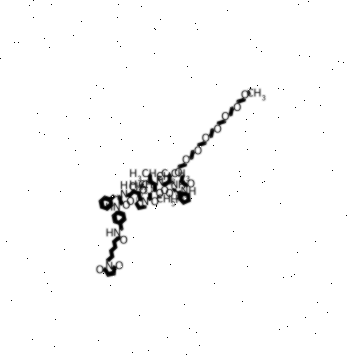 CC[C@H](C)[C@@H]([C@@H](CC(=O)N1CCC[C@H]1[C@H](OC)[C@@H](C)C(=O)N[C@@H](Cc1ccccc1)C(=O)Nc1ccc(CNC(=O)CCCCCN2C(=O)C=CC2=O)cc1)OC)N(C)C(=O)[C@@H](NC(=O)[C@@H]1[C@H]2CC[C@@H](C2)N1C(=O)CCOCCOCCOCCOCCOCCOCCOCCOC)C(C)C